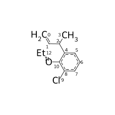 C=C[C](C)c1cccc(Cl)c1OCC